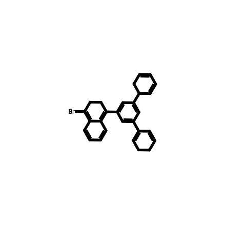 BrC1=c2ccccc2=C(c2cc(C3=CCCC=C3)cc(C3C=CC=CC3)c2)CC1